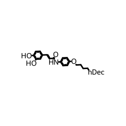 CCCCCCCCCCCCCCOc1ccc(NC(=O)/C=C/c2ccc(O)c(O)c2)cc1